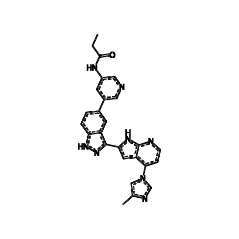 CCC(=O)Nc1cncc(-c2ccc3[nH]nc(-c4cc5c(-n6cnc(C)c6)ccnc5[nH]4)c3c2)c1